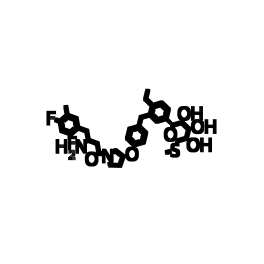 CCc1ccc([C@@H]2O[C@H](SC)[C@@H](O)[C@H](O)[C@H]2O)cc1Cc1ccc(O[C@H]2CCN(C(=O)C[C@H](N)Cc3cc(C)c(F)cc3F)C2)cc1